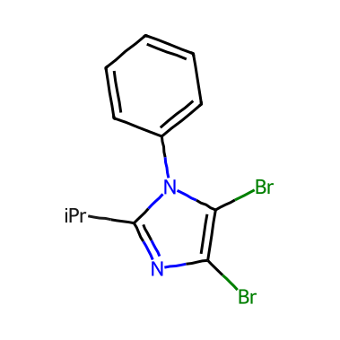 CC(C)c1nc(Br)c(Br)n1-c1ccccc1